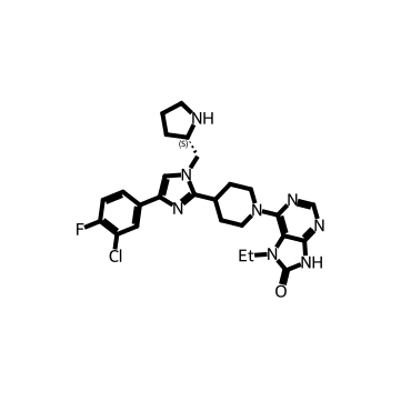 CCn1c(=O)[nH]c2ncnc(N3CCC(c4nc(-c5ccc(F)c(Cl)c5)cn4C[C@@H]4CCCN4)CC3)c21